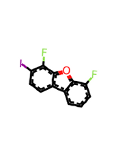 Fc1cccc2c1oc1c(F)c(I)ccc12